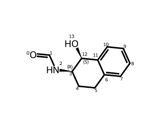 O=CN[C@@H]1CCc2ccccc2[C@@H]1O